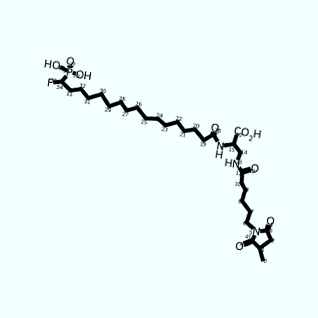 CC1CC(=O)N(CCCCCC(=O)NCC(NC(=O)CCCCCCCCCCCCCCCC(F)P(=O)(O)O)C(=O)O)C1=O